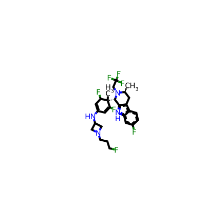 C[C@H]1Cc2c([nH]c3cc(F)ccc23)[C@H](C2(C)C(F)=CC(NC3CN(CCCF)C3)=CC2F)N1CC(F)(F)F